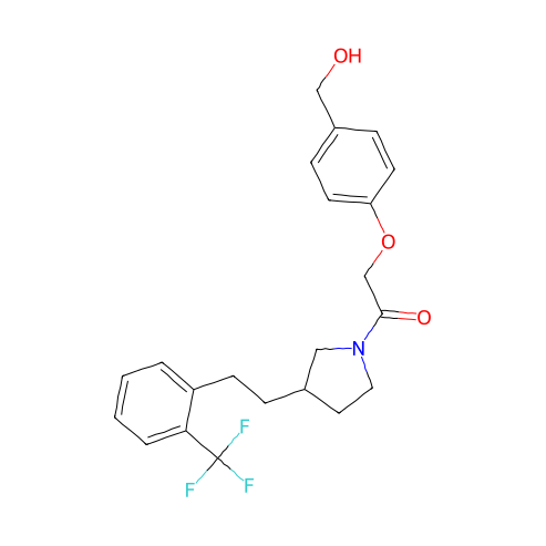 O=C(COc1ccc(CO)cc1)N1CCC(CCc2ccccc2C(F)(F)F)C1